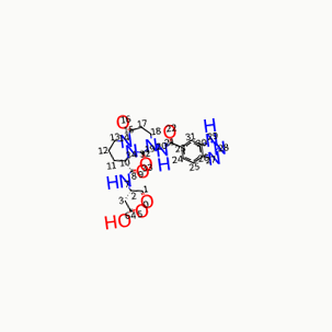 O=C[C@H](CC(=O)O)NC(=O)[C@@H]1CCCN2C(=O)CCN(NC(=O)c3ccc4nn[nH]c4c3)C(=O)N12